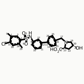 Cc1cc(S(=O)(=O)Nc2cccc(-c3ccc(CN4C[C@H](O)C[C@H]4C(=O)O)cc3)c2)c(C)cc1Cl